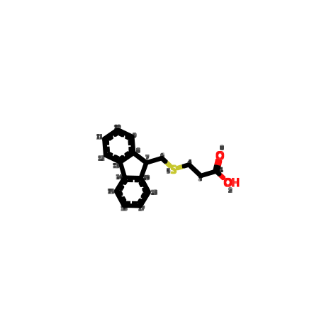 O=C(O)CCSCC1c2ccccc2-c2ccccc21